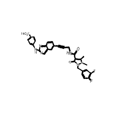 Cc1c(C(=O)NCC#Cc2ccc3nc(Nc4ccc(C(=O)O)cc4)ncc3c2)c(=O)n(Cc2ccc(F)c(F)c2)n1C